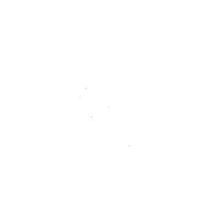 Cc1oc(C)c(-c2csc(N(C(=O)[C@@H](CC(=O)O)Cc3ccccc3)C3CC3)n2)c1-c1ccc(N2CCCC2=O)nc1